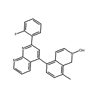 Cc1ccc(-c2cc(-c3ccccc3F)nc3ncccc23)c2c1CN(O)C=C2